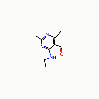 CCNc1nc(C)nc(C)c1C=O